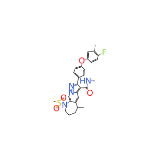 CNC(=O)c1c(-c2ccc(Oc3ccc(F)c(C)c3)cc2)nn2cc3c(cc12)C(C)CCCN3S(C)(=O)=O